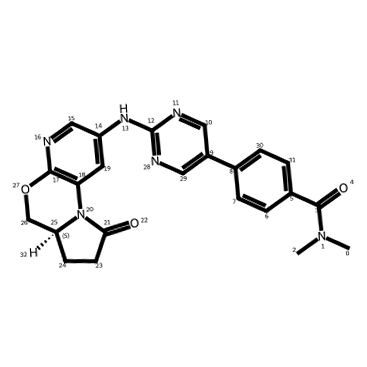 CN(C)C(=O)c1ccc(-c2cnc(Nc3cnc4c(c3)N3C(=O)CC[C@H]3CO4)nc2)cc1